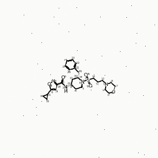 O=C(N[C@H]1CCN(S(=O)(=O)CCCN2CCOCC2)[C@@H](Cc2ccccc2)C1)c1cc(C2CC2)on1